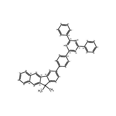 CC1(C)c2ccc(-c3ccc(-c4nc(-c5ccccc5)nc(-c5ccccc5)n4)cc3)cc2-c2cc3ccccc3cc21